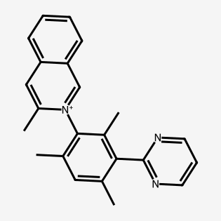 Cc1cc(C)c(-[n+]2cc3ccccc3cc2C)c(C)c1-c1ncccn1